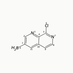 Bc1cnc2c(Cl)nccc2c1